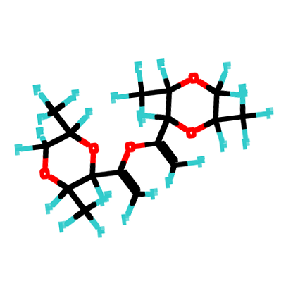 FC(F)=C(OC(=C(F)F)C1(F)OC(F)(C(F)(F)F)C(F)(F)OC1(F)C(F)(F)F)C1(F)OC(F)(C(F)(F)F)C(F)(F)OC1(F)C(F)(F)F